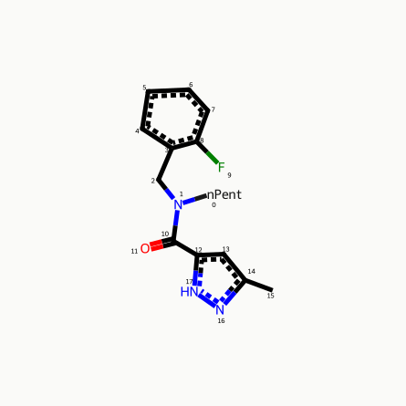 CCCCCN(Cc1ccccc1F)C(=O)c1cc(C)n[nH]1